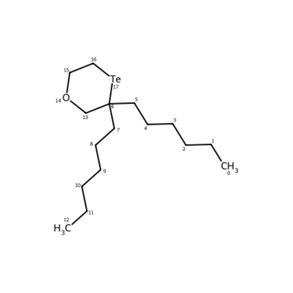 CCCCCCC1(CCCCCC)COCC[Te]1